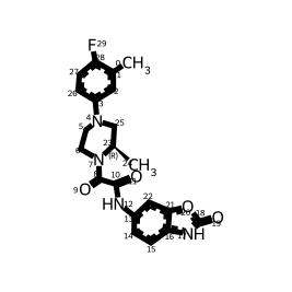 Cc1cc(N2CCN(C(=O)C(=O)Nc3ccc4[nH]c(=O)oc4c3)[C@H](C)C2)ccc1F